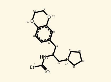 CCC(=O)NC(Cc1ccc2c(c1)OCCO2)CN1CCCC1